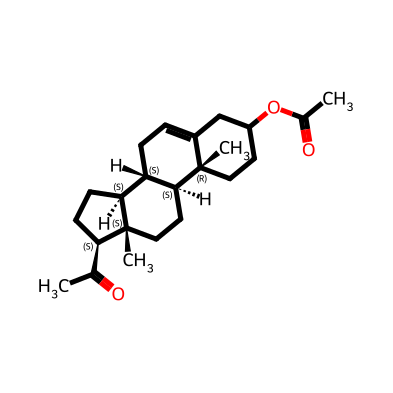 CC(=O)OC1CC[C@@]2(C)C(=CC[C@H]3[C@@H]4CC[C@H](C(C)=O)[C@@]4(C)CC[C@@H]32)C1